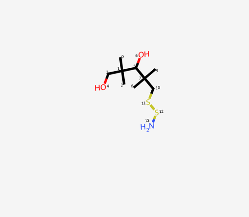 CC(C)(CO)C(O)C(C)(C)CSSN